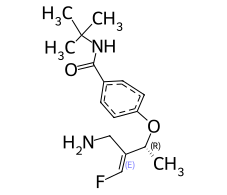 C[C@@H](Oc1ccc(C(=O)NC(C)(C)C)cc1)/C(=C/F)CN